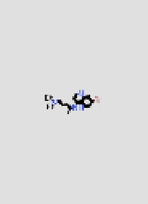 CCN(CC)CCC[C@H](C)Nc1ccnc2cc(Br)ccc12